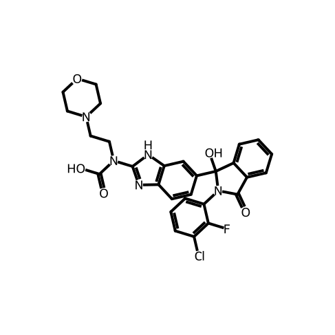 O=C(O)N(CCN1CCOCC1)c1nc2ccc(C3(O)c4ccccc4C(=O)N3c3cccc(Cl)c3F)cc2[nH]1